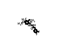 CCc1c(C(=O)NNC(=O)Cc2ccc(F)c(F)c2)ccc(OC)c1C